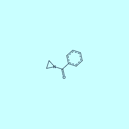 O=C(c1ccccc1)N1CC1